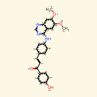 COc1cc2ncnc(Nc3ccc(/C=C/C(=O)c4ccc(O)cc4)cc3)c2cc1OC